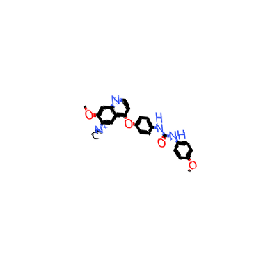 [C-]#[N+]c1cc2c(Oc3ccc(NC(=O)Nc4ccc(OC)cc4)cc3)ccnc2cc1OC